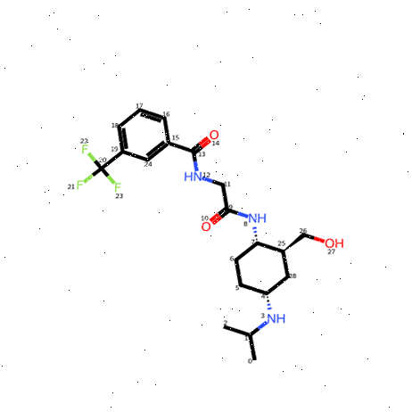 CC(C)N[C@@H]1CC[C@H](NC(=O)CNC(=O)c2cccc(C(F)(F)F)c2)[C@@H](CO)C1